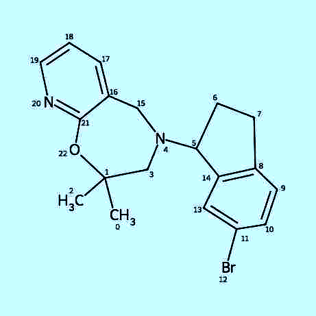 CC1(C)CN(C2CCc3ccc(Br)cc32)Cc2cccnc2O1